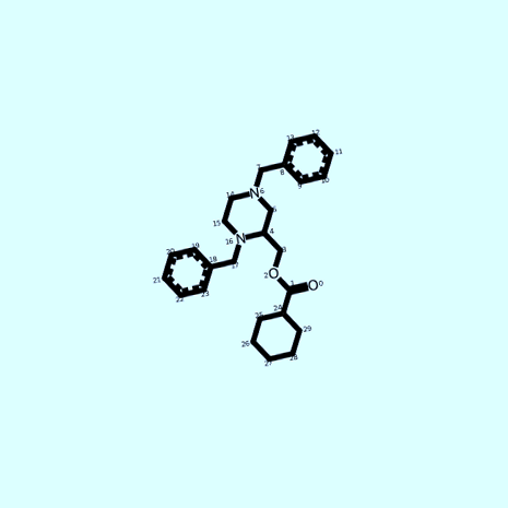 O=C(OCC1CN(Cc2ccccc2)CCN1Cc1ccccc1)C1CCCCC1